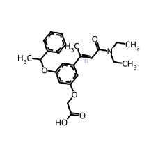 CCN(CC)C(=O)/C=C(\C)c1cc(OCC(=O)O)cc(OC(C)c2ccccc2)c1